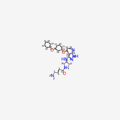 CN(C)CC=CC(=O)N1CCC(Nc2n[nH]c3nccc(Oc4cccc(Oc5ccccc5)c4)c23)C1